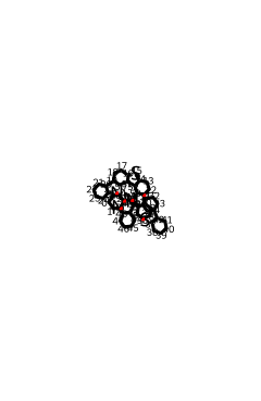 c1ccc(-n2c3ccccc3c3ccc4sc5ccc6c7ccccc7n(-c7nc(-c8cccc9c8sc8ccccc89)c8ccccc8n7)c6c5c4c32)cc1